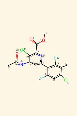 COC(=O)c1nc(-c2c(F)cc(Cl)c(C)c2F)cc(NC(C)=O)c1Cl